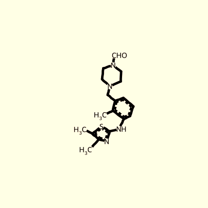 Cc1nc(Nc2cccc(CN3CCN(C=O)CC3)c2C)sc1C